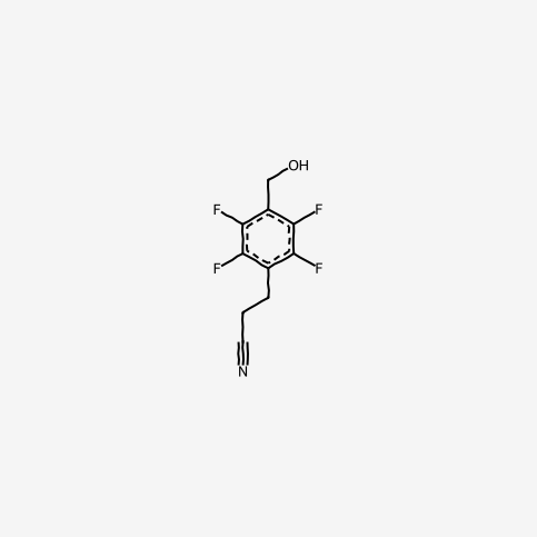 N#CCCc1c(F)c(F)c(CO)c(F)c1F